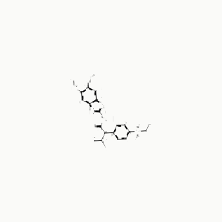 CCS(=O)(=O)c1ccc(C(C(=O)Nc2nc3cc(OC)c(OC)cc3s2)C(C)C)cc1